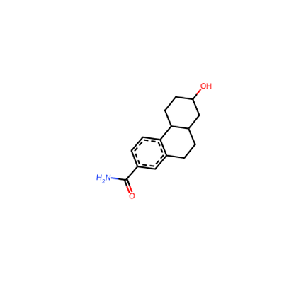 NC(=O)c1ccc2c(c1)CCC1CC(O)CCC21